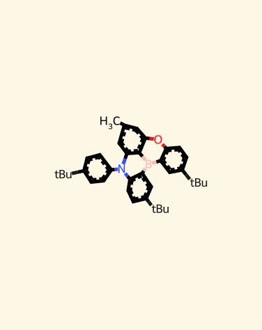 Cc1cc2c3c(c1)N(c1ccc(C(C)(C)C)cc1)c1ccc(C(C)(C)C)cc1B3c1cc(C(C)(C)C)ccc1O2